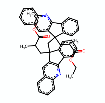 CCOC(=O)C(C)CC1(CC2(CC(C)C(=O)OCC)c3ccccc3-c3nc4ccccc4cc32)c2ccccc2-c2nc3ccccc3cc21